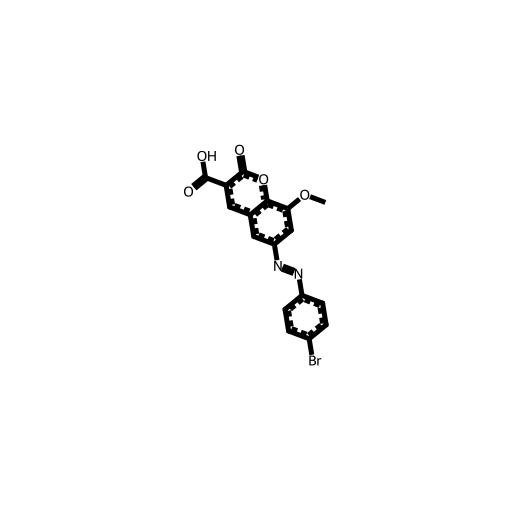 COc1cc(/N=N/c2ccc(Br)cc2)cc2cc(C(=O)O)c(=O)oc12